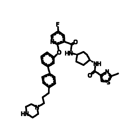 Cc1nc(C(=O)N[C@H]2CC[C@H](NC(=O)c3cc(F)cnc3Oc3cccc(-c4ccc(CCCN5CCNCC5)cc4)c3)CC2)cs1